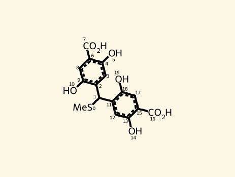 CSC(c1cc(O)c(C(=O)O)cc1O)c1cc(O)c(C(=O)O)cc1O